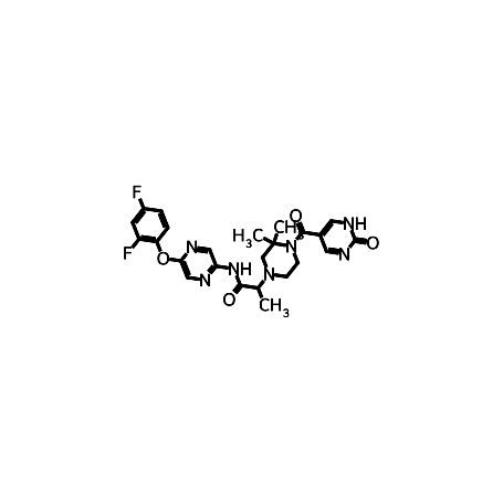 CC(C(=O)Nc1cnc(Oc2ccc(F)cc2F)cn1)N1CCN(C(=O)c2cnc(=O)[nH]c2)C(C)(C)C1